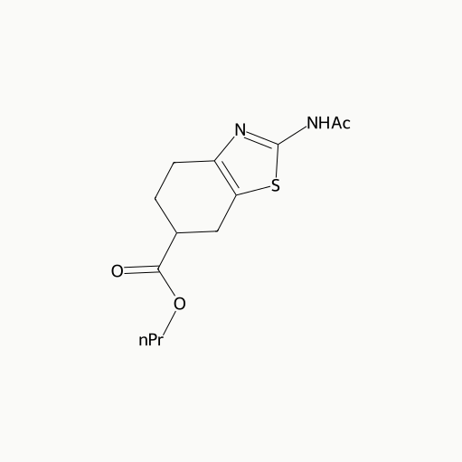 CCCOC(=O)C1CCc2nc(NC(C)=O)sc2C1